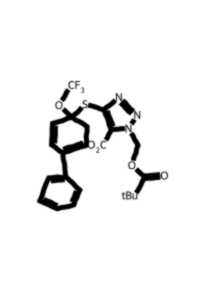 CC(C)(C)C(=O)OCn1nnc(SC2(OC(F)(F)F)C=CC(c3ccccc3)=CC2)c1C(=O)O